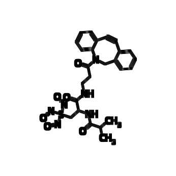 CC(C)C(=O)NC(CS(N=O)(N=O)N=O)C(=O)NCCC(=O)N1Cc2ccccc2C#Cc2ccccc21